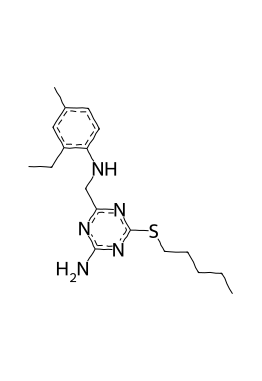 CCCCCSc1nc(N)nc(CNc2ccc(C)cc2CC)n1